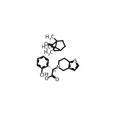 CC12CCC(CC1=O)C2(C)C.O=C(O)[C@H](c1ccccc1Cl)N1CCc2sccc2C1